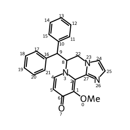 COc1c2n(ccc1=O)C(C(c1ccccc1)c1ccccc1)Cn1ccnc1-2